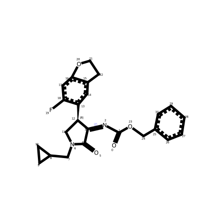 O=C(/N=C1\C(=O)N(CC2CC2)C[C@H]1c1cc2c(cc1F)OCC2)OCc1ccccc1